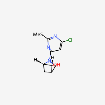 CSc1nc(Cl)cc(N2CC3C[C@H]2[C@@H]3O)n1